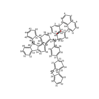 c1ccc(-c2cccc3cccc(-c4ccc(N(c5ccc(-c6ccc7c(c6)sc6ccccc67)cc5)c5ccc(-c6ccccc6-n6c7ccccc7c7ccccc76)cc5)cc4)c23)cc1